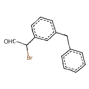 O=CC(Br)c1cccc(Cc2ccccc2)c1